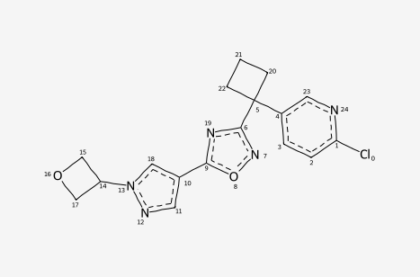 Clc1ccc(C2(c3noc(-c4cnn(C5COC5)c4)n3)CCC2)cn1